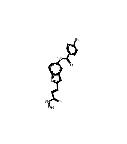 CC(C)(C)c1ccc(C(=O)Nc2ccc3sc(C=CC(=O)NO)cc3c2)cc1